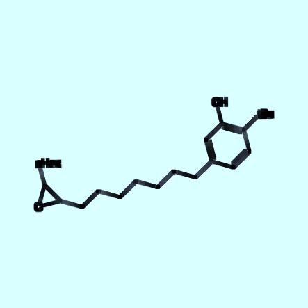 CCCCCCC1OC1CCCCCCCc1ccc(C(C)(C)C)c(O)c1